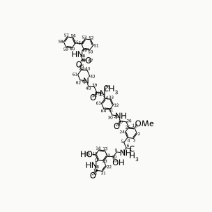 COc1ccc(CC(C)NCC(O)c2ccc(O)c3[nH]c(=O)ccc23)cc1CC(=O)NCc1ccc(N(C)C(=O)CCN2CCC(OC(=O)Nc3ccccc3-c3ccccc3)CC2)cc1